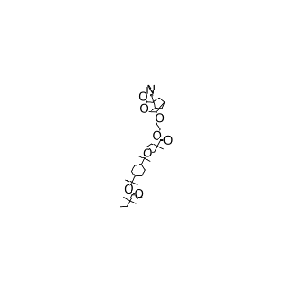 CCC(C)(C)C(=O)OC(C)(C)C1CCC(C(C)(C)OCC(C)(CC)C(=O)OCCOC2C3CC4C2OC(=O)C4(C#N)C3)CC1